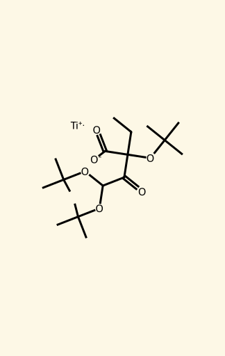 CCC(OC(C)(C)C)(C(=O)[O-])C(=O)C(OC(C)(C)C)OC(C)(C)C.[Ti+]